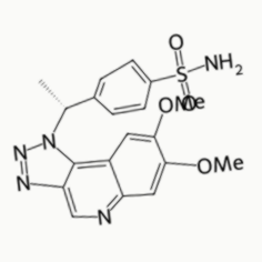 COc1cc2ncc3nnn([C@H](C)c4ccc(S(N)(=O)=O)cc4)c3c2cc1OC